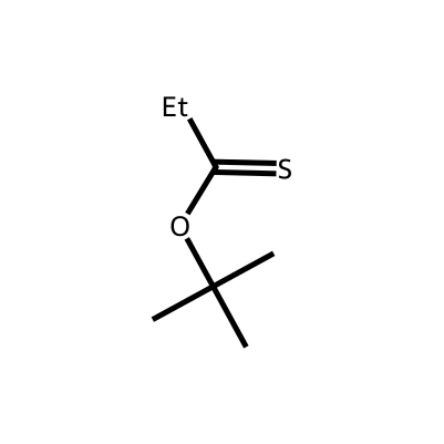 CCC(=S)OC(C)(C)C